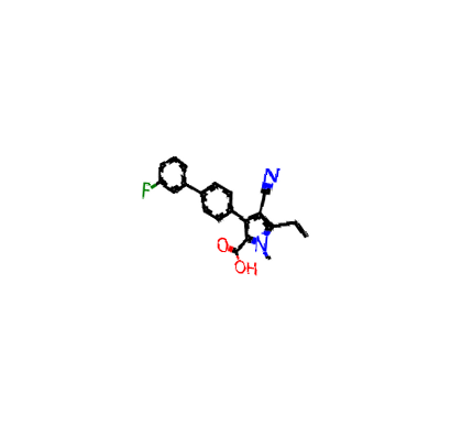 CCc1c(C#N)c(-c2ccc(-c3cccc(F)c3)cc2)c(C(=O)O)n1C